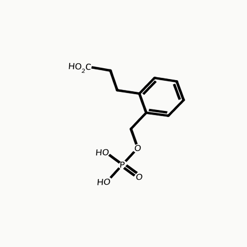 O=C(O)CCc1ccccc1COP(=O)(O)O